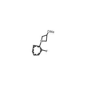 COC1CN(c2[c]cccc2F)C1